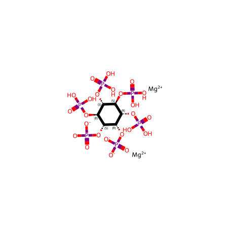 O=P([O-])([O-])O[C@@H]1[C@H](OP(=O)([O-])[O-])[C@@H](OP(=O)(O)O)[C@H](OP(=O)(O)O)[C@@H](OP(=O)(O)O)[C@@H]1OP(=O)(O)O.[Mg+2].[Mg+2]